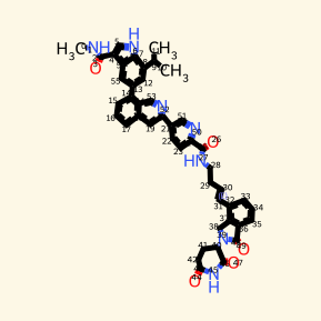 CNC(=O)c1c[nH]c2c(C(C)C)cc(-c3cccc4cc(-c5ccc(C(=O)NCC/C=C/c6cccc7c6CN(C6CCC(=O)NC6=O)C7=O)nc5)ncc34)cc12